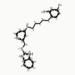 Fc1ccc(CCCCCSc2ccnc(CSc3nc4ccccc4[nH]3)c2)c(F)c1